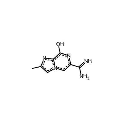 Cc1cn2cc(C(=N)N)nc(O)c2n1